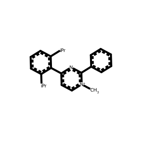 CC(C)c1cccc(C(C)C)c1-c1cc[n+](C)c(-c2ccccc2)n1